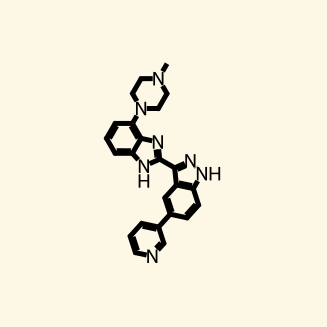 CN1CCN(c2cccc3[nH]c(-c4n[nH]c5ccc(-c6cccnc6)cc45)nc23)CC1